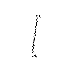 [CH2]COCCOCCOCCOCCCCCCCCCCCC